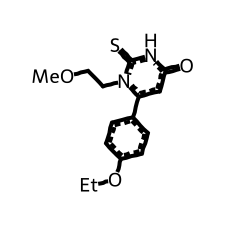 CCOc1ccc(-c2cc(=O)[nH]c(=S)n2CCOC)cc1